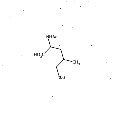 CC(=O)NC(CC(C)CC(C)(C)C)C(=O)O